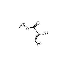 CCCC=C(O)C(=O)OCCC